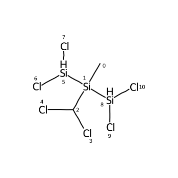 C[Si](C(Cl)Cl)([SiH](Cl)Cl)[SiH](Cl)Cl